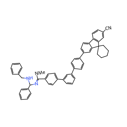 CN/C(=N\C(NCc1ccccc1)c1ccccc1)c1ccc(-c2cccc(-c3ccc(-c4ccc5c(c4)C4(CCCCC4)c4cc(C#N)ccc4-5)cc3)c2)cc1